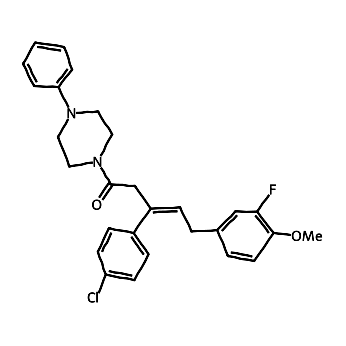 COc1ccc(C/C=C(/CC(=O)N2CCN(c3ccccc3)CC2)c2ccc(Cl)cc2)cc1F